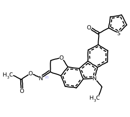 CCn1c2ccc(C(=O)c3cccs3)cc2c2c3c(ccc21)/C(=N/OC(C)=O)CO3